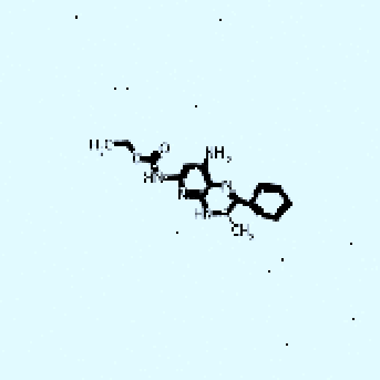 CCOC(=O)Nc1cc(N)c2c(n1)N[C@@H](C)C(c1ccccc1)=N2